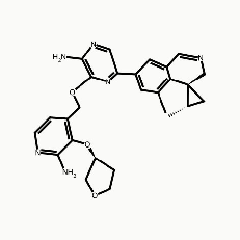 Cc1cc(-c2cnc(N)c(OCc3ccnc(N)c3O[C@H]3CCOC3)n2)cc2c1[C@]1(CN=C2)C[C@@H]1C